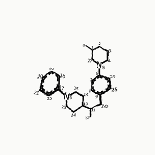 CC1CCCN(c2ccc(CC(C)C3CCN(c4ccccc4)CC3)cc2)C1